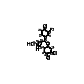 Cl.Fc1cc(C(Oc2ccc(Cl)c(Cl)c2)C2CNC2)ccc1Cl